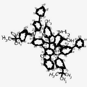 Bc1c(B)c2c(c(B)c1O)-c1cc(C)cnc1C21c2cc(N(c3ccc(-c4ccccc4)cc3)c3ccc(C(C)(C)C)cc3)ccc2-c2c1cc(N(c1ccc(-c3ccccc3)cc1)c1ccc(C(C)(C)C)cc1)c1c2oc2ccccc21